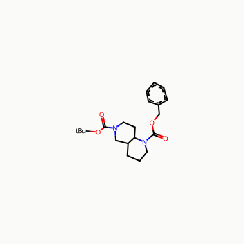 CC(C)(C)OC(=O)N1CCC2C(CCCN2C(=O)OCc2ccccc2)C1